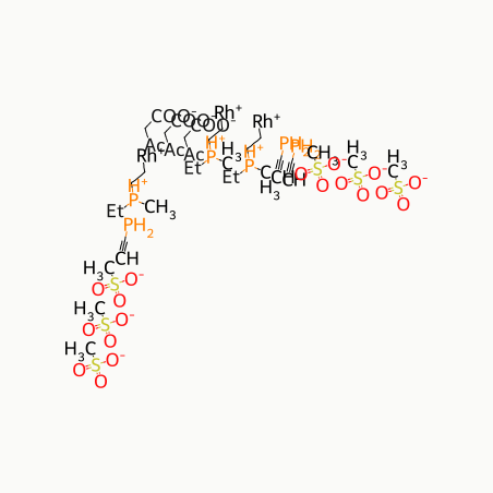 C#CP.C#CP.C#CP.CC(=O)CC(=O)[O-].CC(=O)CC(=O)[O-].CC(=O)CC(=O)[O-].CC[PH+](C)C[CH2][Rh+].CC[PH+](C)C[CH2][Rh+].CC[PH+](C)C[CH2][Rh+].CS(=O)(=O)[O-].CS(=O)(=O)[O-].CS(=O)(=O)[O-].CS(=O)(=O)[O-].CS(=O)(=O)[O-].CS(=O)(=O)[O-]